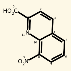 O=C(O)c1ccc2cccc([N+](=O)[O-])c2n1